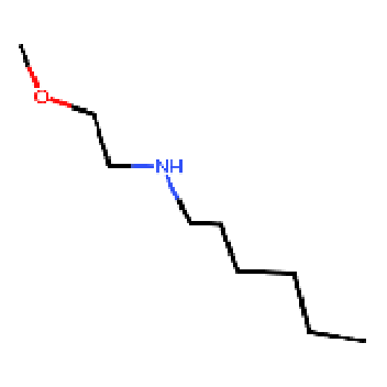 CCCCCCNCCOC